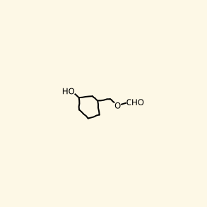 O=COCC1CCCC(O)C1